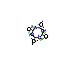 Cc1cc(C)c(-c2c3nc(c(-c4c(Br)cccc4Br)c4ccc([nH]4)c(-c4c(C)cc(C)cc4C)c4nc(c(-c5c(Br)cccc5Br)c5ccc2[nH]5)C=C4)C=C3)c(C)c1